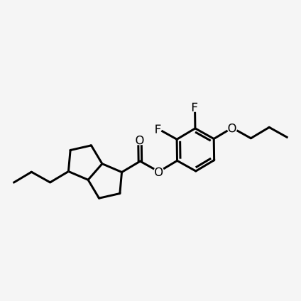 CCCOc1ccc(OC(=O)C2CCC3C(CCC)CCC23)c(F)c1F